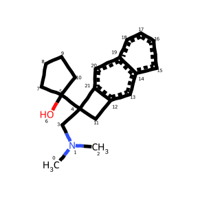 CN(C)CC1(C2(O)CCCC2)Cc2cc3ccccc3cc21